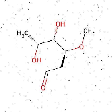 CO[C@@H](CC=O)[C@@H](O)[C@@H](C)O